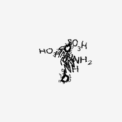 Nc1nc(NCc2ccccc2)nc(Nc2ccc(S(=O)(=O)O)cc2S(=O)(=O)O)n1